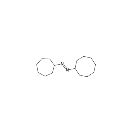 C1CCCC(N=NC2CCCCCC2)CCC1